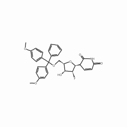 COc1ccc(C(OC[C@H]2O[C@@H](C3C=CC(=O)NC3=O)[C@@H](F)[C@H]2O)(c2ccccc2)c2ccc(OC)cc2)cc1